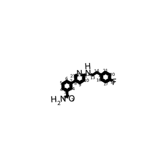 NC(=O)c1cccc(-c2ccc(NCCc3ccc(F)cc3)nc2)c1